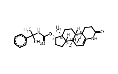 CC(C)(NC(=O)O[C@H]1CC[C@H]2[C@@H]3CC=C4NC(=O)CC[C@]4(C)[C@H]3CC[C@]12C)c1ccccc1